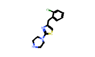 Clc1ccccc1Cc1csc(N2CCNCC2)n1